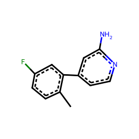 Cc1ccc(F)cc1-c1ccnc(N)c1